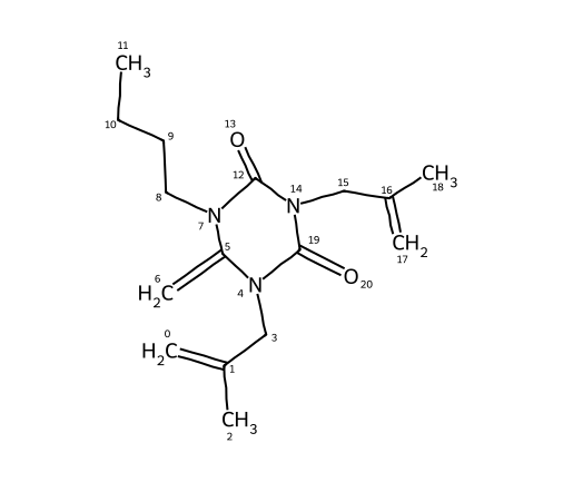 C=C(C)CN1C(=C)N(CCCC)C(=O)N(CC(=C)C)C1=O